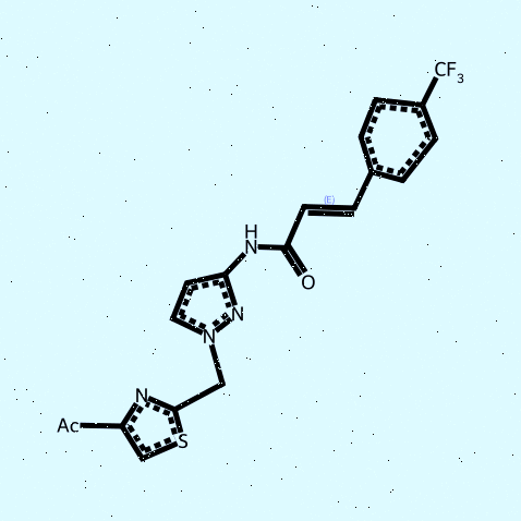 CC(=O)c1csc(Cn2ccc(NC(=O)/C=C/c3ccc(C(F)(F)F)cc3)n2)n1